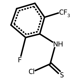 Fc1cccc(C(F)(F)F)c1NC(=S)Cl